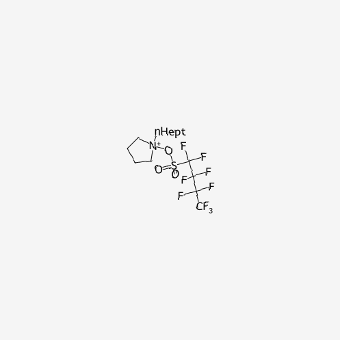 CCCCCCC[N+]1(OS(=O)(=O)C(F)(F)C(F)(F)C(F)(F)C(F)(F)F)CCCC1